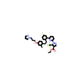 CCOC(=O)c1cnn(-c2cccc(-c3cc(F)ccc3CCc3ccc(OCCCn4cccn4)cc3C)n2)c1C(F)(F)F